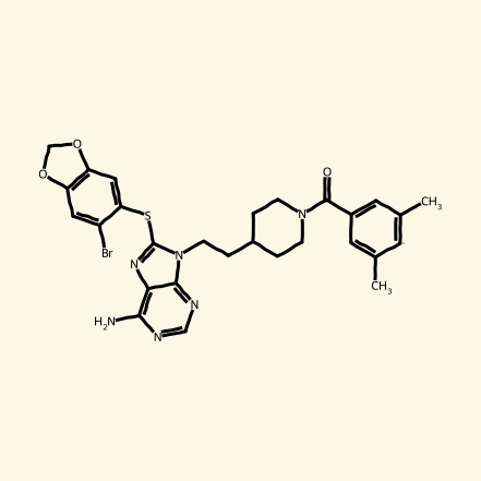 Cc1[c]c(C)cc(C(=O)N2CCC(CCn3c(Sc4cc5c(cc4Br)OCO5)nc4c(N)ncnc43)CC2)c1